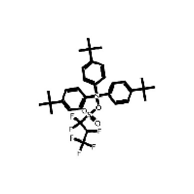 CC(C)(C)c1ccc(S(OS(=O)(=O)C(F)(F)C(F)C(F)(F)F)(c2ccc(C(C)(C)C)cc2)c2ccc(C(C)(C)C)cc2)cc1